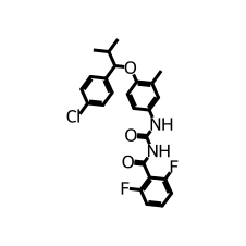 Cc1cc(NC(=O)NC(=O)c2c(F)cccc2F)ccc1OC(c1ccc(Cl)cc1)C(C)C